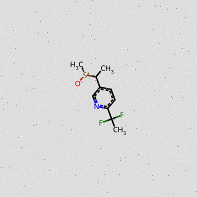 CC(c1ccc(C(C)(F)F)nc1)[S+](C)[O-]